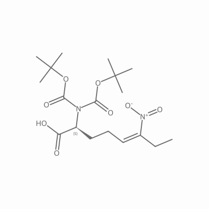 CCC(=CCC[C@@H](C(=O)O)N(C(=O)OC(C)(C)C)C(=O)OC(C)(C)C)[N+](=O)[O-]